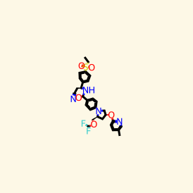 CCS(=O)(=O)c1ccc([C@H](CC#N)NC(=O)c2ccc(N3C[C@@H](Oc4ccc(C)cn4)C[C@H]3COC(F)F)cc2)cc1